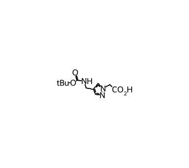 CC(C)(C)OC(=O)NCc1cnn(CC(=O)O)c1